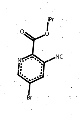 [C-]#[N+]c1cc(Br)cnc1C(=O)OC(C)C